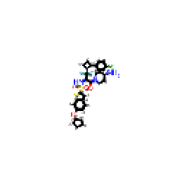 NC1CCN(C(=O)C(NS(=O)(=O)c2cc3ccc(OC4CCCC4)cc3s2)C(F)(F)[C@H]2CCC2c2ccc(Cl)cc2)CC1